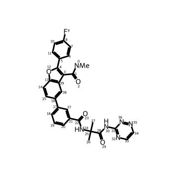 CNC(=O)c1c(-c2ccc(F)cc2)oc2ccc(-c3cccc(C(=O)NC(C)(C)C(=O)Nc4nccnn4)c3)cc12